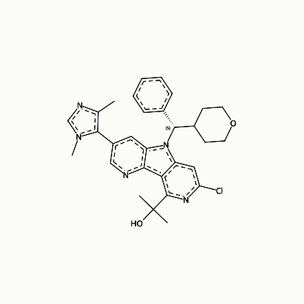 Cc1ncn(C)c1-c1cnc2c3c(C(C)(C)O)nc(Cl)cc3n([C@H](c3ccccc3)C3CCOCC3)c2c1